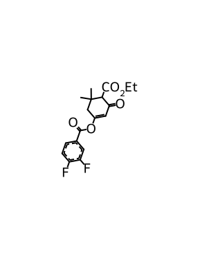 CCOC(=O)C1C(=O)C=C(OC(=O)c2ccc(F)c(F)c2)CC1(C)C